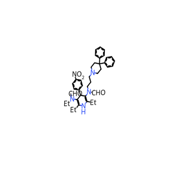 CCC1=C(N(C=O)CC)C(c2ccc([N+](=O)[O-])cc2)C(N(C=O)CCCN2CCC(c3ccccc3)(c3ccccc3)CC2)=C(CC)N1